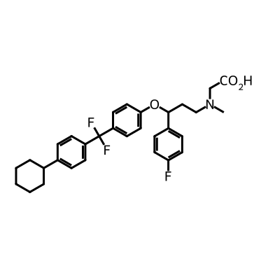 CN(CCC(Oc1ccc(C(F)(F)c2ccc(C3CCCCC3)cc2)cc1)c1ccc(F)cc1)CC(=O)O